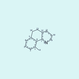 Cc1cccc2c1-c1ncccc1CC2